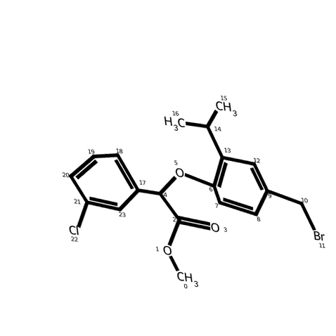 COC(=O)C(Oc1ccc(CBr)cc1C(C)C)c1cccc(Cl)c1